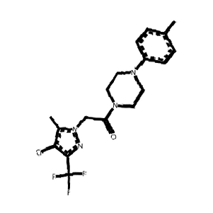 Cc1ccc(N2CCN(C(=O)Cn3nc(C(F)(F)F)c(Cl)c3C)CC2)cc1